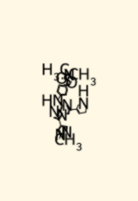 CN(C)S(=O)(=O)c1ccc(Nc2nc(C3=CCCNC3)cn3c(-c4cnn(C)c4)cnc23)cc1